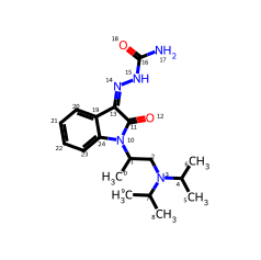 CC(CN(C(C)C)C(C)C)N1C(=O)C(=NNC(N)=O)c2ccccc21